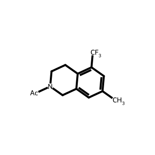 CC(=O)N1CCc2c(cc(C)cc2C(F)(F)F)C1